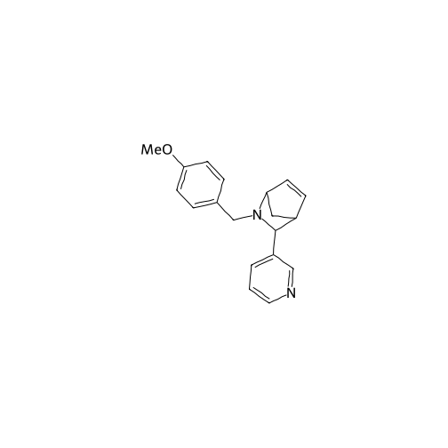 COc1ccc(CN2C3C=CC(C3)C2c2cccnc2)cc1